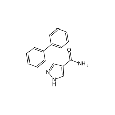 NC(=O)c1cn[nH]c1.c1ccc(-c2ccccc2)cc1